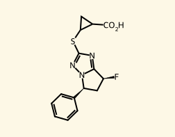 O=C(O)C1CC1Sc1nc2n(n1)[C@H](c1ccccc1)C[C@@H]2F